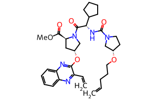 C=CCCCO[C@H]1CCN(C(=O)N[C@H](C(=O)N2C[C@H](Oc3nc4ccccc4nc3C=C)C[C@H]2C(=O)OC)C2CCCC2)C1